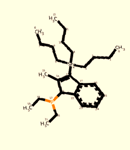 CCC[CH2][Sn]([CH2]CCC)([CH2]CCC)[C]1=C(C)C(P(CC)CC)c2ccccc21